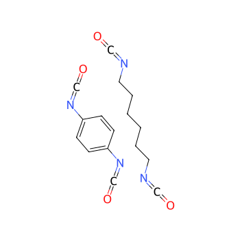 O=C=NCCCCCCN=C=O.O=C=Nc1ccc(N=C=O)cc1